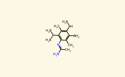 BBc1c(B)c(C)c(/N=C(\C)N)c(B(B)B)c1C